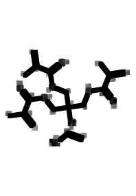 C=C(C)C(=O)OCC(CC)(COC(=O)C(=C)C)COC(=O)C(=C)C.C=CC#N